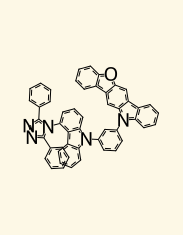 c1ccc(-c2nnc(-c3ccccc3)n2-c2cccc3c2c2ccccc2n3-c2cccc(-n3c4ccccc4c4cc5oc6ccccc6c5cc43)c2)cc1